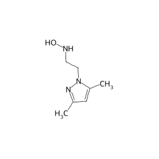 Cc1cc(C)n(CCNO)n1